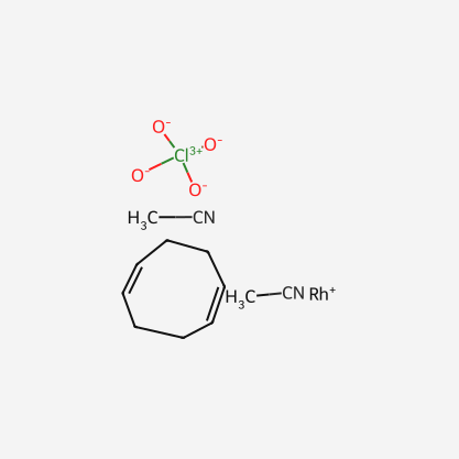 C1=C\CC/C=C\CC/1.CC#N.CC#N.[O-][Cl+3]([O-])([O-])[O-].[Rh+]